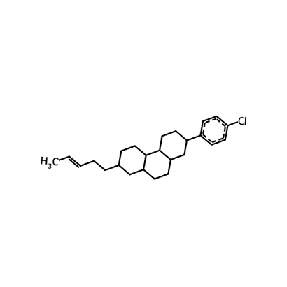 C/C=C/CCC1CCC2C(CCC3CC(c4ccc(Cl)cc4)CCC32)C1